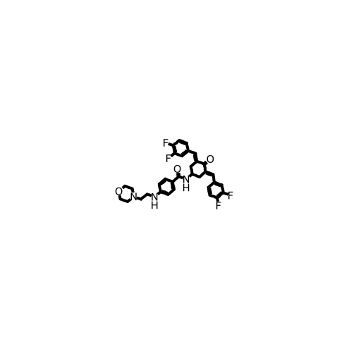 O=C1/C(=C/c2ccc(F)c(F)c2)CC(NC(=O)c2ccc(NCCN3CCOCC3)cc2)C/C1=C\c1ccc(F)c(F)c1